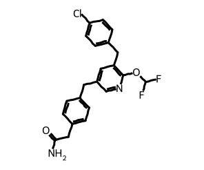 NC(=O)Cc1ccc(Cc2cnc(OC(F)F)c(Cc3ccc(Cl)cc3)c2)cc1